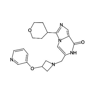 O=c1[nH]c(CN2CC(Oc3cccnc3)C2)cn2c(C3CCOCC3)ncc12